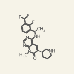 C[C@@H](Nc1ncnc2c1cc([C@@H]1CCCNC1)c(=O)n2C)c1cccc(C(F)F)c1F